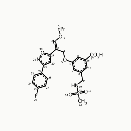 CCCO/N=C(\COc1cc(CNS(C)(=O)=O)cc(C(=O)O)c1)c1cc(-c2ccc(F)cc2)no1